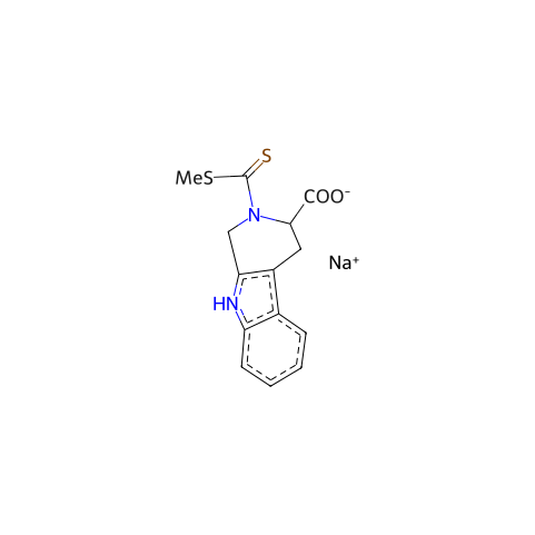 CSC(=S)N1Cc2[nH]c3ccccc3c2CC1C(=O)[O-].[Na+]